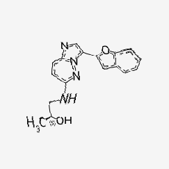 C[C@H](O)CNc1ccc2ncc(-c3cc4ccccc4o3)n2n1